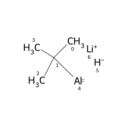 C[C](C)(C)[Al].[H-].[Li+]